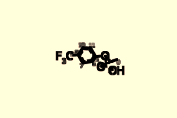 CP(=O)(O)Oc1ccc(C(F)(F)F)cc1